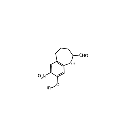 CC(C)Oc1cc2c(cc1[N+](=O)[O-])CCCC(C=O)N2